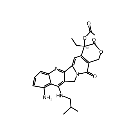 CC[C@@]1(OC(C)=O)C(=O)OCc2c1cc1n(c2=O)Cc2c-1nc1cccc(N)c1c2NCC(C)C